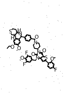 CCOc1cc2c(cc1OC)C(c1ccc(C(=O)N3CCC(n4c(=O)c5sc(-c6ccc(F)cc6OC)cc5n(Cc5cc(F)c(OC)c(F)c5)c4=O)CC3)cc1)=N[C@@H]1CCSC[C@H]21